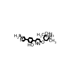 CC1(C)CC(Oc2ccc(-c3ccc(-c4cnn(P)c4)cc3O)nn2)CC(C)(C)N1